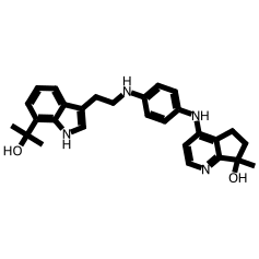 CC(C)(O)c1cccc2c(CCNc3ccc(Nc4ccnc5c4CCC5(C)O)cc3)c[nH]c12